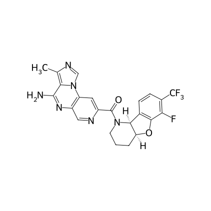 Cc1ncn2c1c(N)nc1cnc(C(=O)N3CCC[C@@H]4Oc5c(ccc(C(F)(F)F)c5F)[C@@H]43)cc12